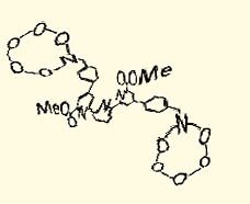 COC(=O)c1cc(-c2ccc(CN3CCOCCOCCOCCOCCOCC3)cc2)cc(-c2cccc(-c3cc(-c4ccc(CN5CCOCCOCCOCCOCCOCC5)cc4)cc(C(=O)OC)n3)n2)n1